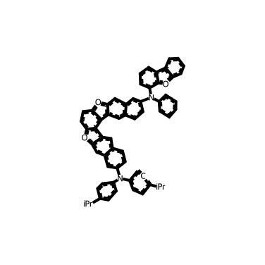 CC(C)c1ccc(N(c2ccc(C(C)C)cc2)c2ccc3cc4c(cc3c2)oc2ccc3oc5cc6cc(N(c7ccccc7)c7cccc8c7oc7ccccc78)ccc6cc5c3c24)cc1